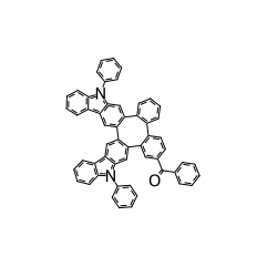 O=C(c1ccccc1)c1ccc2c(c1)-c1cc3c(cc1-c1cc4c5ccccc5n(-c5ccccc5)c4cc1-c1ccccc1-2)c1ccccc1n3-c1ccccc1